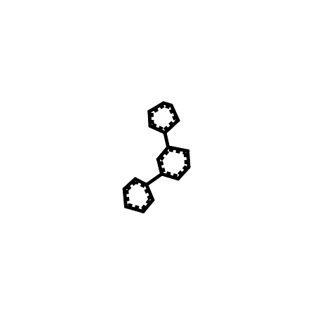 [c]1ccc(-c2ccccc2)[c]c1-c1ccccc1